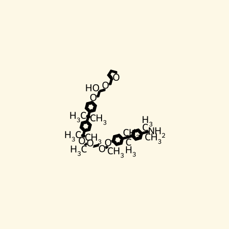 CC(OCCOC(C)OC(C)(C)c1ccc(C(C)(C)c2ccc(OCC(O)COCC3=CCCO3)cc2)cc1)Oc1ccc(C(C)(C)c2ccc(C(C)(C)N)cc2)cc1